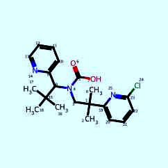 CC(C)(CN(C(=O)O)C(c1ccccn1)C(C)(C)C)c1cccc(Cl)n1